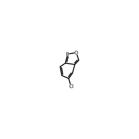 Clc1ccc2bocc2c1